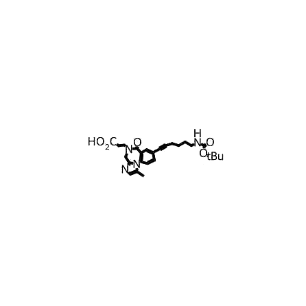 Cc1cnc2n1-c1ccc(C#CCCCCNC(=O)OC(C)(C)C)cc1C(=O)N(CCC(=O)O)C2